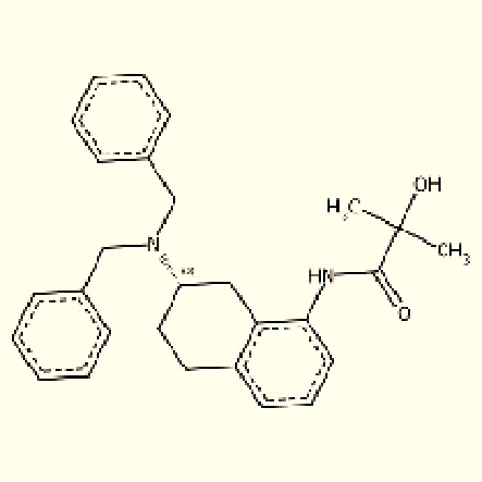 CC(C)(O)C(=O)Nc1cccc2c1C[C@@H](N(Cc1ccccc1)Cc1ccccc1)CC2